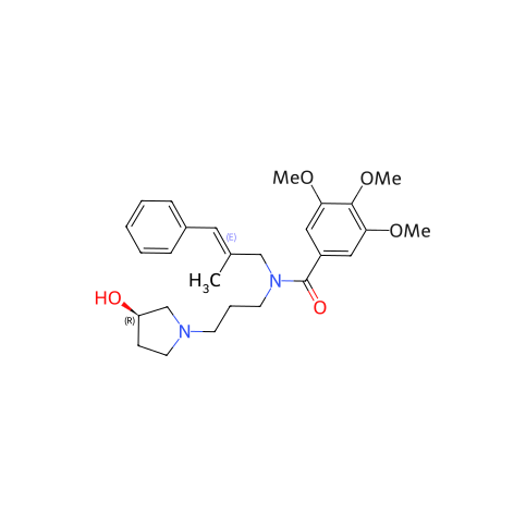 COc1cc(C(=O)N(CCCN2CC[C@@H](O)C2)C/C(C)=C/c2ccccc2)cc(OC)c1OC